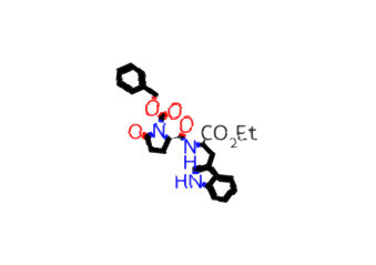 CCOC(=O)[C@H](Cc1c[nH]c2ccccc12)NC(=O)[C@@H]1CCC(=O)N1C(=O)OCc1ccccc1